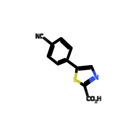 N#Cc1ccc(-c2cnc(C(=O)O)s2)cc1